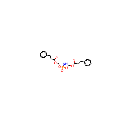 [NH]P(=O)(OCOC(=O)CCc1ccccc1)OCOC(=O)CCc1ccccc1